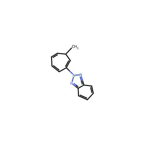 CC1C=CC=CC(n2nc3ccccc3n2)=C1